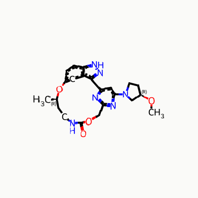 CO[C@@H]1CCN(c2cc3nc(n2)COC(=O)NCC[C@@H](C)Oc2ccc4[nH]nc-3c4c2)C1